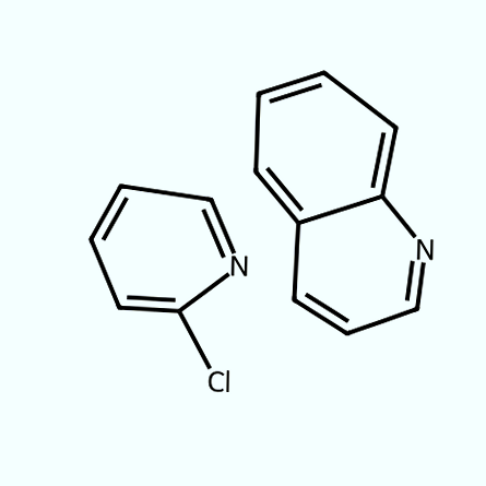 Clc1ccccn1.c1ccc2ncccc2c1